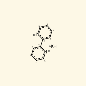 [KH].c1ccc(-c2ccccn2)nc1